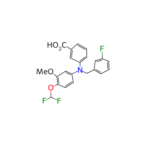 COc1cc(N(Cc2cccc(F)c2)c2cccc(C(=O)O)c2)ccc1OC(F)F